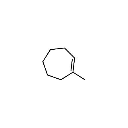 CC1=[C]CCCCC1